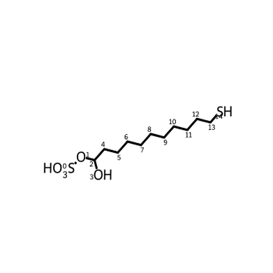 O=S(=O)(O)OC(O)CCCCCCCCCCS